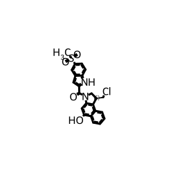 CS(=O)(=O)c1ccc2[nH]c(C(=O)N3C[C@@H](CCl)c4c3cc(O)c3ccccc43)cc2c1